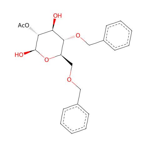 CC(=O)O[C@@H]1[C@@H](O)[C@H](OCc2ccccc2)[C@@H](COCc2ccccc2)O[C@H]1O